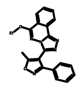 CCOc1nn2c(-c3c(-c4ccccc4)noc3C)nnc2c2ccccc12